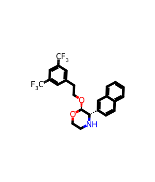 FC(F)(F)c1cc(CCO[C@@H]2OCCN[C@H]2c2ccc3ccccc3c2)cc(C(F)(F)F)c1